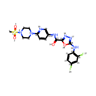 CS(=O)(=O)N1CCN(c2ccc(NC(=O)c3nnc(Nc4ccc(F)cc4F)o3)cn2)CC1